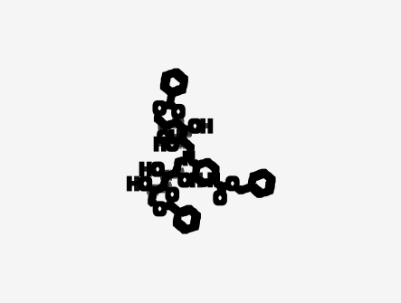 O=C(OCc1ccccc1)N1CCC(N(C[C@H](O)[C@@H](O)[C@@H]2OC(c3ccccc3)OC[C@H]2O)C[C@H](O)[C@@H](O)[C@@H]2OC(c3ccccc3)OC[C@H]2O)CC1